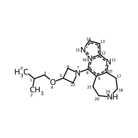 CC(C)COC1CN(c2c3c(nc4ccnn24)CCNCC3)C1